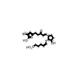 Cc1sc(CCC(=O)/C=C/[C@H]2CCC(O)[C@@H]2S/C=C\CCCC(=O)O)cc1Br